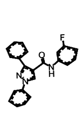 O=C(Nc1cccc(F)c1)c1cn(-c2ccccc2)nc1-c1ccccc1